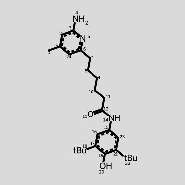 Cc1cc(N)nc(CCCCCC(=O)Nc2cc(C(C)(C)C)c(O)c(C(C)(C)C)c2)c1